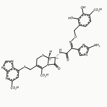 Nc1nc(C(=NOCc2ccc(C(=O)O)c(O)c2O)C(=O)N[C@@H]2C(=O)N3C(C(=O)O)=C(CSc4cc(C(=O)O)nc5ncnn45)CS[C@H]23)cs1